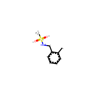 Cc1ccccc1CNS(=O)(=O)C(F)(F)F